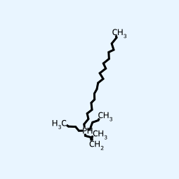 C=C(C)C[PH](CCCC)(CCCC)CCCCCCCCCCCCCCCCCCC